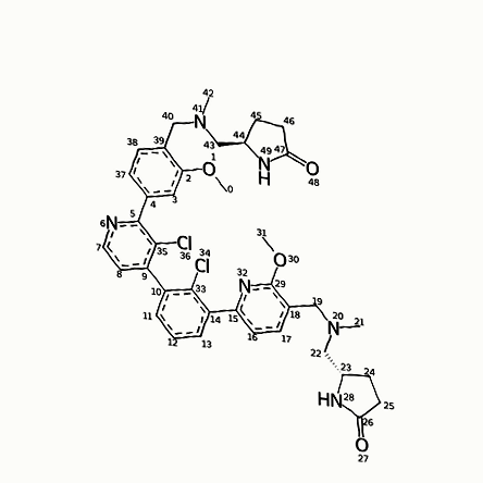 COc1cc(-c2nccc(-c3cccc(-c4ccc(CN(C)C[C@@H]5CCC(=O)N5)c(OC)n4)c3Cl)c2Cl)ccc1CN(C)C[C@H]1CCC(=O)N1